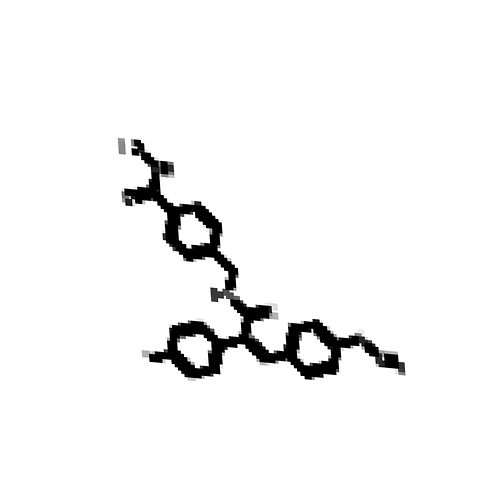 CSc1ccc(C=C(C(=O)NCc2ccc(C(=O)NO)cc2)c2ccc(F)cc2)cc1